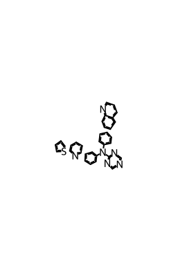 c1ccc(N(c2ccccc2)c2ncncn2)cc1.c1ccc2ncccc2c1.c1ccncc1.c1ccsc1